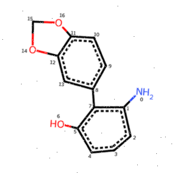 Nc1cccc(O)c1-c1ccc2c(c1)OCO2